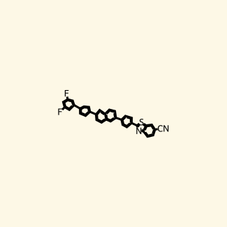 N#Cc1ccc2nc(-c3ccc(-c4ccc5cc(-c6ccc(-c7cc(F)cc(F)c7)cc6)ccc5c4)cc3)sc2c1